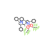 C/C(=C1/N=C(c2ccccc2)C=C1c1ccccc1)c1c(-c2ccccc2)cc(-c2ccccc2)n1B(OCC(F)(F)C(F)(F)F)OCC(F)(F)C(F)(F)F